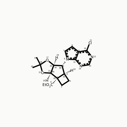 CCOC(=O)[C@@]12CC[C@@H]1[C@@H](n1ccc3c(Cl)ncnc31)[C@@H]1OC(C)(C)O[C@@H]12